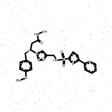 CC(C)(C)Oc1ccc(C[C@@H](CC(=O)NO)n2cc(CNS(=O)(=O)c3ccc(-c4ccccn4)s3)nn2)cc1